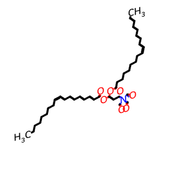 CCCCCCCC/C=C\CCCCCCCC(=O)OC(CC[N+](C=O)(C=O)C=O)OC(=O)CCCCCCC/C=C\CCCCCCCC